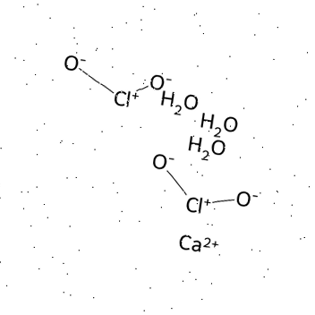 O.O.O.[Ca+2].[O-][Cl+][O-].[O-][Cl+][O-]